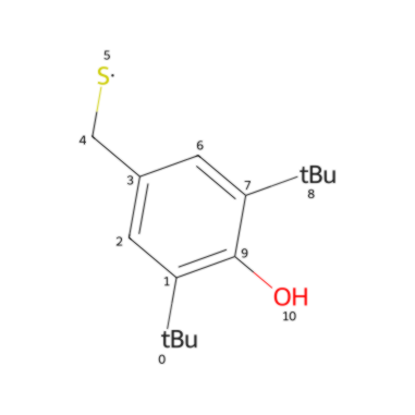 CC(C)(C)c1cc(C[S])cc(C(C)(C)C)c1O